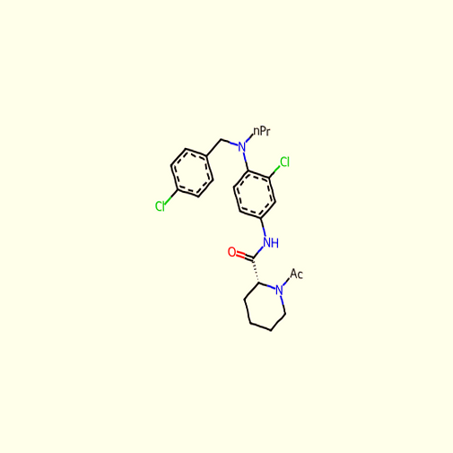 CCCN(Cc1ccc(Cl)cc1)c1ccc(NC(=O)[C@H]2CCCCN2C(C)=O)cc1Cl